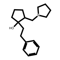 OC1(CCc2ccccc2)CCCC1CN1CCCC1